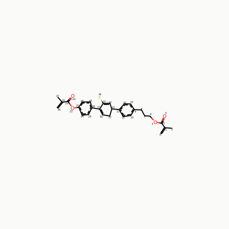 C=C(C)C(=O)OCCCc1ccc(C2C=C(F)C(c3ccc(OC(=O)C(=C)C)cc3)=CC2)cc1